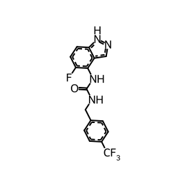 O=C(NCc1ccc(C(F)(F)F)cc1)Nc1c(F)ccc2[nH]ncc12